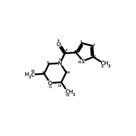 Cc1ccc(C(=O)N2CC(C)OC(C)C2)s1